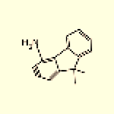 CC1(C)c2ccccc2-c2c(N)c#ccc21